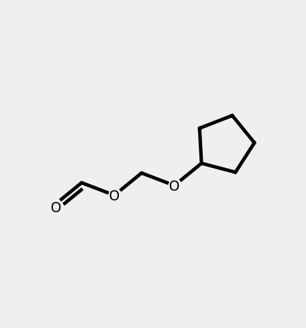 O=COCOC1CCCC1